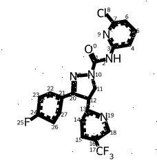 O=C(Nc1cccc(Cl)n1)N1CC(c2ccc(C(F)(F)F)cn2)C(c2ccc(F)cc2)=N1